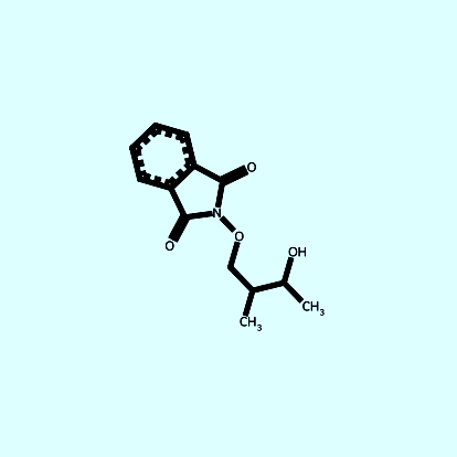 CC(O)C(C)CON1C(=O)c2ccccc2C1=O